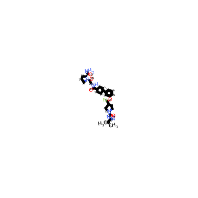 CC(C)c1noc(N2CCC(C(F)Oc3cccc(C4=CCC(C(=O)NCC(=O)N5CCC[C@@H]5C(N)=O)CC4)c3)CC2)n1